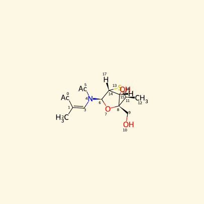 CC(=O)/C(C)=C\N(C(C)=O)[C@@H]1O[C@@]2(CO)[C@H](C)S[C@@H]1[C@@H]2O